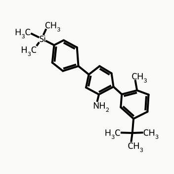 Cc1ccc(C(C)(C)C)cc1-c1ccc(-c2ccc([Si](C)(C)C)cc2)cc1N